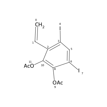 C=Cc1c(I)cc(I)c(OC(C)=O)c1OC(C)=O